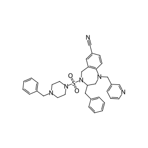 N#Cc1ccc2c(c1)CN(S(=O)(=O)N1CCN(Cc3ccccc3)CC1)C(Cc1ccccc1)CN2Cc1cccnc1